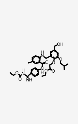 CCOC(=O)COc1c(CNc2ccc(C)cc2C(=O)Nc2ccc(C(=N)NC(=O)OCC)cc2)cc(CO)cc1OCC(C)C